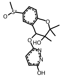 C[S+]([O-])c1ccc2c(c1)C(Oc1ccc(O)nn1)C(C)(O)C(C)(C)O2